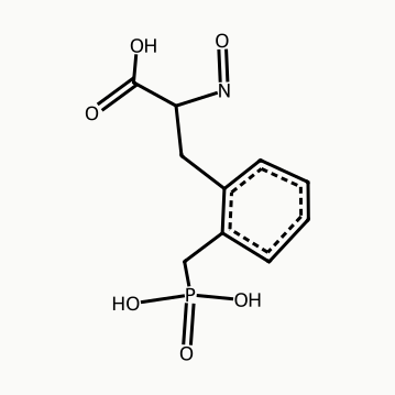 O=NC(Cc1ccccc1CP(=O)(O)O)C(=O)O